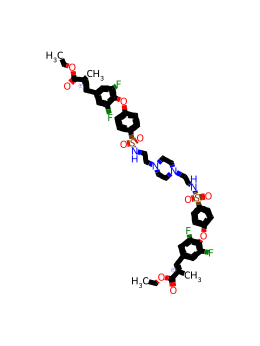 CCOC(=O)/C(C)=C/c1cc(F)c(Oc2ccc(S(=O)(=O)NCCN3CCN(CCNS(=O)(=O)c4ccc(Oc5c(F)cc(/C=C(\C)C(=O)OCC)cc5F)cc4)CC3)cc2)c(F)c1